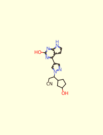 N#CCC(C1CCC(O)C1)n1cc(-c2nc(O)nc3[nH]ccc23)cn1